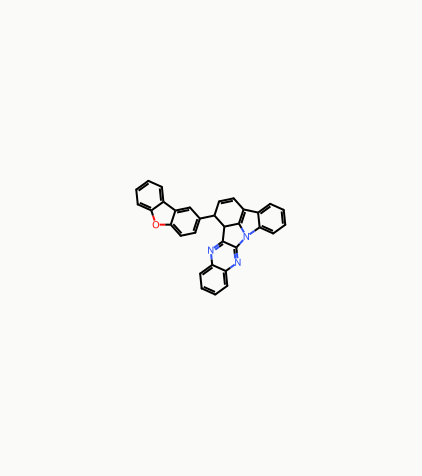 C1=CC(c2ccc3oc4ccccc4c3c2)C2c3nc4ccccc4nc3-n3c2c1c1ccccc13